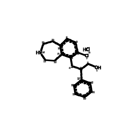 Cl.OCC(Sc1c(Cl)ccc2c1CCNCC2)c1ccccc1